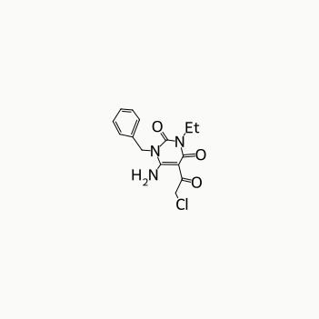 CCn1c(=O)c(C(=O)CCl)c(N)n(Cc2ccccc2)c1=O